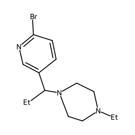 CCC(c1ccc(Br)nc1)N1CCN(CC)CC1